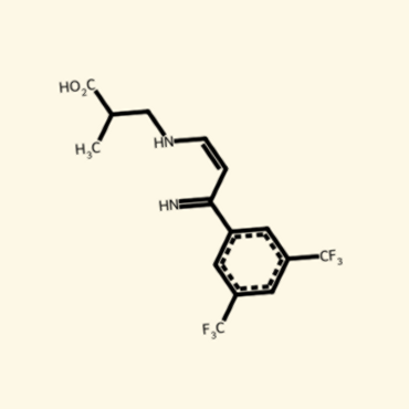 CC(CN/C=C\C(=N)c1cc(C(F)(F)F)cc(C(F)(F)F)c1)C(=O)O